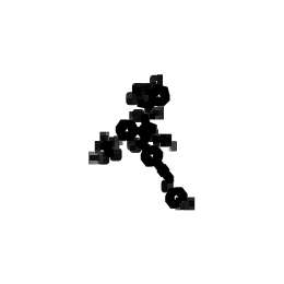 Cc1c(F)ccc(F)c1-c1c(C(=O)N[C@@H](CS(C)(=O)=O)c2cccc(Cl)c2)cn(C)c1C(=O)c1ccc(C#CCOC2CCNCC2)cc1.O=C(O)C(F)(F)F